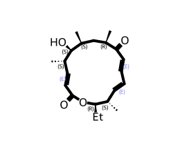 CC[C@H]1OC(=O)/C=C/[C@H](C)[C@@H](O)[C@@H](C)C[C@@H](C)C(=O)/C=C/C=C/[C@@H]1C